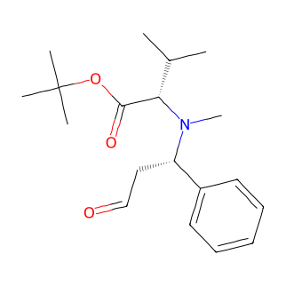 CC(C)[C@@H](C(=O)OC(C)(C)C)N(C)[C@@H](CC=O)c1ccccc1